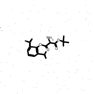 CC(C)c1cccc(C(C)C)c1OC(=O)C(N)C(=O)OC(C)(C)C